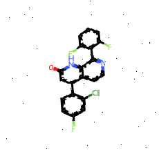 O=c1cc(-c2ccc(F)cc2Cl)c2ccnc(-c3c(F)cccc3F)c2[nH]1